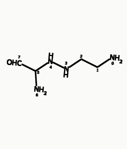 NCCNNC(N)C=O